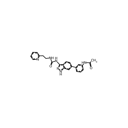 CC(=O)Nc1cccc(-c2ccc3c(NC(=O)NCCc4ccccn4)n[nH]c3c2)c1